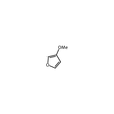 COc1[c]occ1